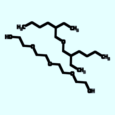 CCCCC(CC)COCC(CC)CCCC.OCCOCCOCCOCCO